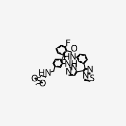 CS(=O)(=O)CCNCc1cccc(Nc2nccc(-c3c(-c4cccc(NC(=O)c5c(F)cccc5F)c4)nc4sccn34)n2)c1